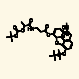 CC(OC(=O)OC(C)(C)C)C(=O)NCCC(=O)OC1=CCC2(O)C3Cc4ccc(O[Si](C)(C)C(C)(C)C)c5c4C2(CCN3C)C1O5